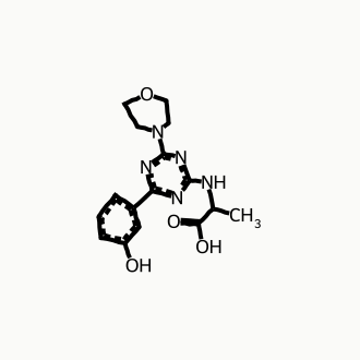 CC(Nc1nc(-c2cccc(O)c2)nc(N2CCOCC2)n1)C(=O)O